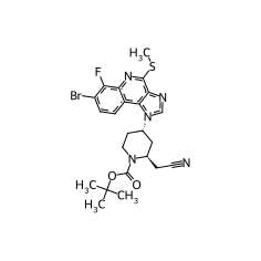 CSc1nc2c(F)c(Br)ccc2c2c1ncn2[C@H]1CCN(C(=O)OC(C)(C)C)[C@H](CC#N)C1